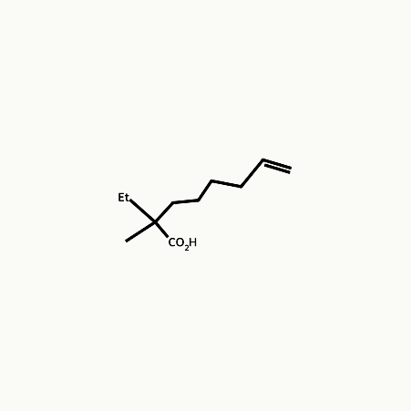 C=CCCCCC(C)(CC)C(=O)O